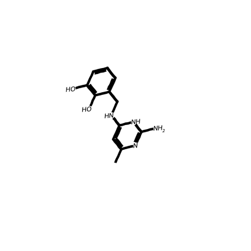 CC1=C=C(NCc2cccc(O)c2O)NC(N)=N1